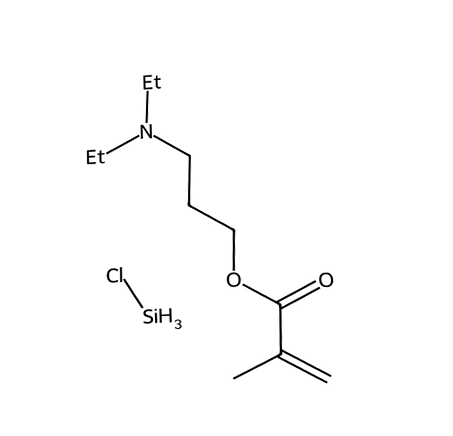 C=C(C)C(=O)OCCCN(CC)CC.[SiH3]Cl